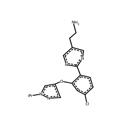 CC(C)n1cc(Oc2cc(Cl)ccc2-c2ncc(CCN)cn2)cn1